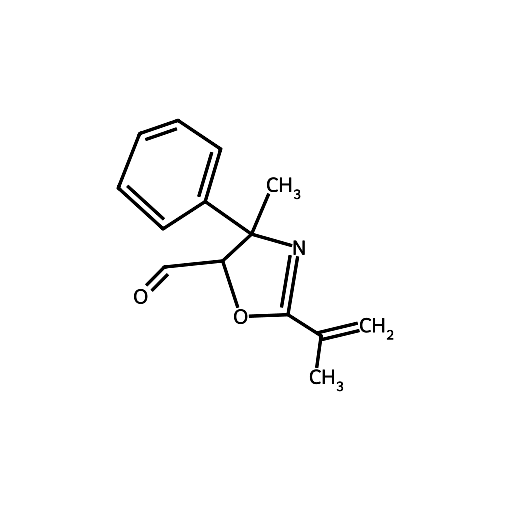 C=C(C)C1=NC(C)(c2ccccc2)C(C=O)O1